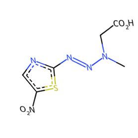 CN(CC(=O)O)/N=N/c1ncc([N+](=O)[O-])s1